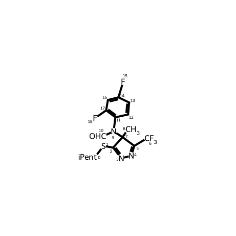 CCCC(C)SC1=NN=C(C(F)(F)F)C1(C)N(C=O)c1ccc(F)cc1F